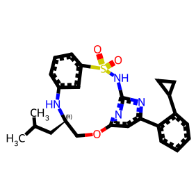 CC(C)C[C@@H]1COc2cc(-c3ccccc3C3CC3)nc(n2)NS(=O)(=O)c2cccc(c2)N1